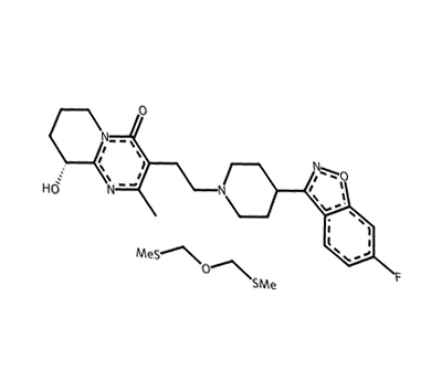 CSCOCSC.Cc1nc2n(c(=O)c1CCN1CCC(c3noc4cc(F)ccc34)CC1)CCC[C@H]2O